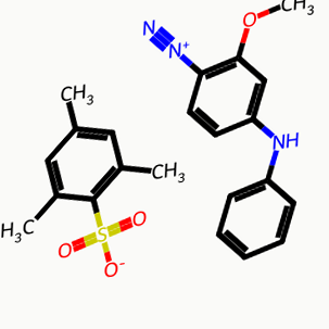 COc1cc(Nc2ccccc2)ccc1[N+]#N.Cc1cc(C)c(S(=O)(=O)[O-])c(C)c1